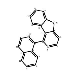 c1ccc2c(-c3nccc4oc5ccccc5c34)nccc2c1